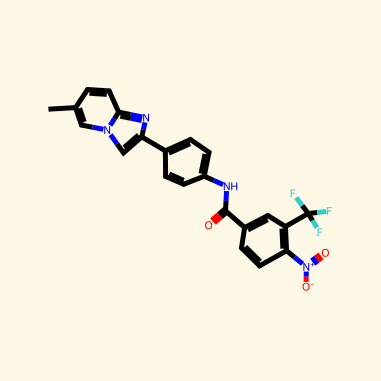 Cc1ccc2nc(-c3ccc(NC(=O)c4ccc([N+](=O)[O-])c(C(F)(F)F)c4)cc3)cn2c1